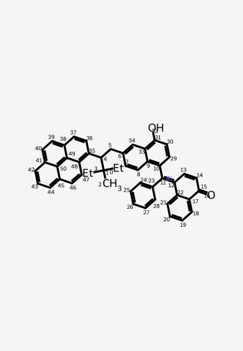 CCC(C)(CC)C(Cc1ccc2c(/C(=C3\C=CC(=O)c4ccccc43)c3ccccc3)ccc(O)c2c1)c1ccc2ccc3cccc4ccc1c2c34